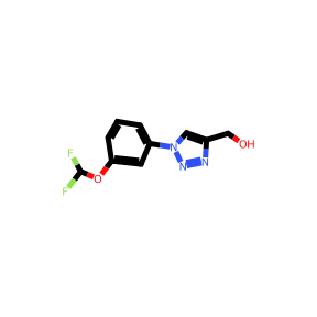 OCc1cn(-c2cccc(OC(F)F)c2)nn1